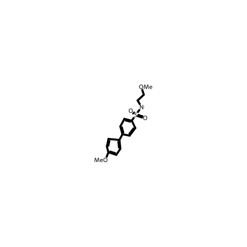 COCC[N]S(=O)(=O)c1ccc(-c2ccc(OC)cc2)cc1